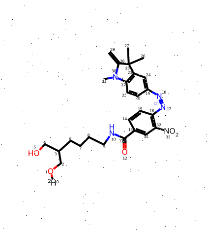 [2H]OCC(CO)CCCCNC(=O)c1ccc(/N=N\c2ccc3c(c2)C(C)(C)C(=C)N3C)c([N+](=O)[O-])c1